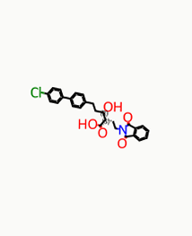 O=C(O)[C@@H](CCN1C(=O)c2ccccc2C1=O)[C@H](O)CCc1ccc(-c2ccc(Cl)cc2)cc1